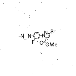 COC(=O)c1cc(Br)nn1-c1ccc(N2CCN(C)CC2)c(F)c1